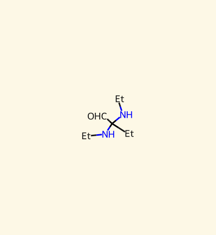 CCNC(C=O)(CC)NCC